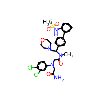 CN(C(=O)CN(CC(N)=O)c1ccc(Cl)c(Cl)c1)C(CN1CCOCC1)c1ccc(-c2ccccc2NS(C)(=O)=O)cc1